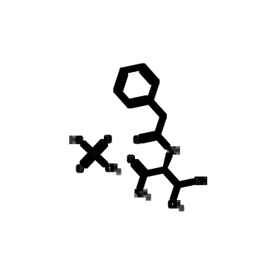 CC(O)[C@H](NC(=O)Cc1ccccc1)C(N)=O.CS(=O)(=O)O